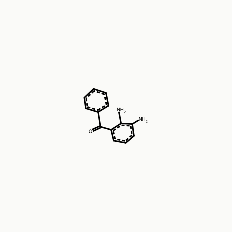 Nc1cccc(C(=O)c2ccccc2)c1N